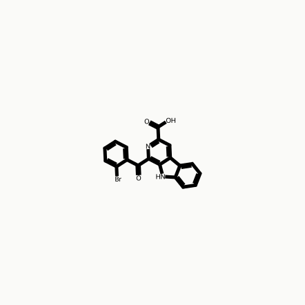 O=C(O)c1cc2c([nH]c3ccccc32)c(C(=O)c2ccccc2Br)n1